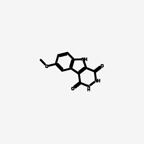 COc1ccc2[nH]c3c(=O)[nH][nH]c(=O)c3c2c1